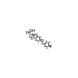 O=C(O)C1CSC(c2ccc(OCc3ccc(F)cc3)cc2)N1